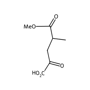 COC(=O)C(C)CC(=O)C(=O)O